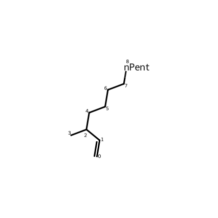 C=CC(C)CCCCCCCCC